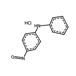 Cl.O=Nc1ccc(Nc2ccccc2)cc1